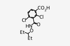 CCC(CC)ONC(=O)c1c(Cl)ccc(C(=O)O)c1Cl